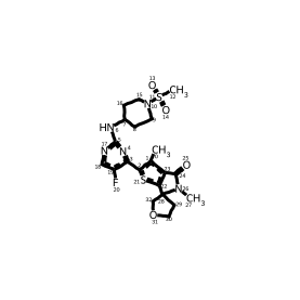 Cc1c(-c2nc(NC3CCN(S(C)(=O)=O)CC3)ncc2F)sc2c1C(=O)N(C)C21CCOC1